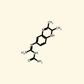 CC1=Nc2cc(/N=C(/N)NC(N)=O)ccc2NC1C